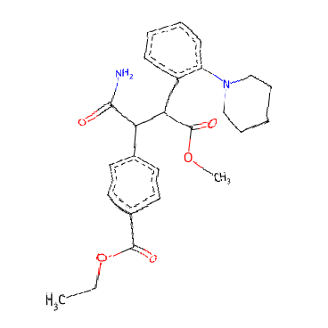 CCOC(=O)c1ccc(C(C(N)=O)C(C(=O)OC)c2ccccc2N2CCCCC2)cc1